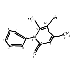 Cc1cc(=O)n(-c2ccccc2)c(C)c1C(C)C